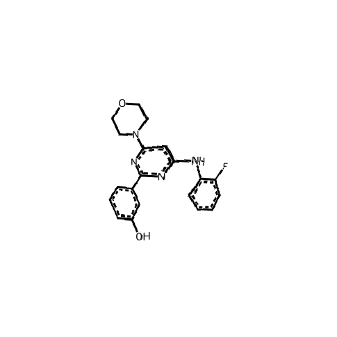 Oc1cccc(-c2nc(Nc3ccccc3F)cc(N3CCOCC3)n2)c1